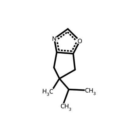 CC(C)C1(C)Cc2ncoc2C1